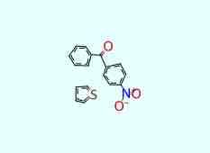 O=C(c1ccccc1)c1ccc([N+](=O)[O-])cc1.c1ccsc1